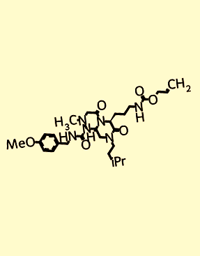 C=CCOC(=O)NCCC[C@H]1C(=O)N(CCC(C)C)C[C@H]2N1C(=O)CN(C)N2C(=O)NCc1ccc(OC)cc1